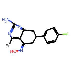 CCc1nc(N)nc2c1/C(=N\O)CC(c1ccc(F)cc1)C2